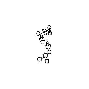 CS(=O)(=O)c1ccc(C(=O)N2CCOC(CN3CCC(Oc4ccc(Cl)c(Cl)c4)CC3)C2)s1